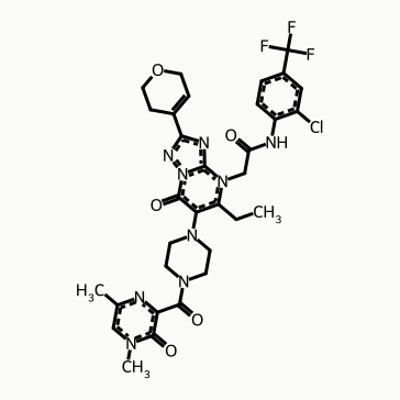 CCc1c(N2CCN(C(=O)c3nc(C)cn(C)c3=O)CC2)c(=O)n2nc(C3=CCOCC3)nc2n1CC(=O)Nc1ccc(C(F)(F)F)cc1Cl